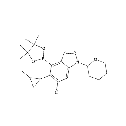 CC1CC1c1c(Cl)cc2c(cnn2C2CCCCO2)c1B1OC(C)(C)C(C)(C)O1